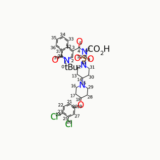 CC(C)(C)n1cc(C(=O)N(C(=O)O)S(=O)(=O)N2CCC(N3CCC(Oc4ccc(Cl)c(Cl)c4)CC3)CC2)c2ccccc2c1=O